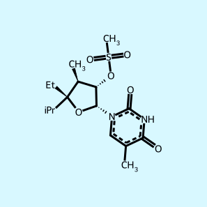 CC[C@]1(C(C)C)O[C@@H](n2cc(C)c(=O)[nH]c2=O)[C@@H](OS(C)(=O)=O)[C@@H]1C